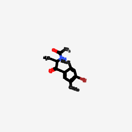 COc1cc(C(=O)C(C)NC(=O)C(F)(F)F)c(OC)cc1Br